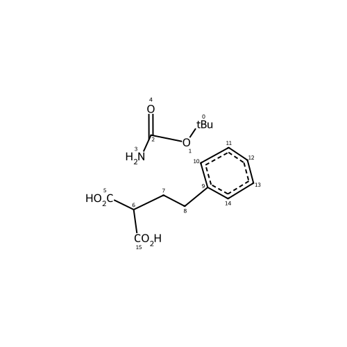 CC(C)(C)OC(N)=O.O=C(O)C(CCc1ccccc1)C(=O)O